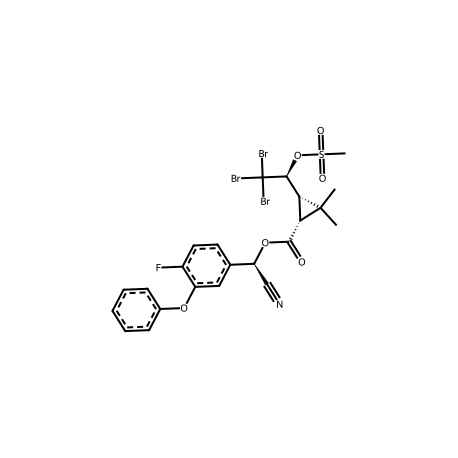 CC1(C)[C@@H]([C@H](OS(C)(=O)=O)C(Br)(Br)Br)[C@H]1C(=O)O[C@@H](C#N)c1ccc(F)c(Oc2ccccc2)c1